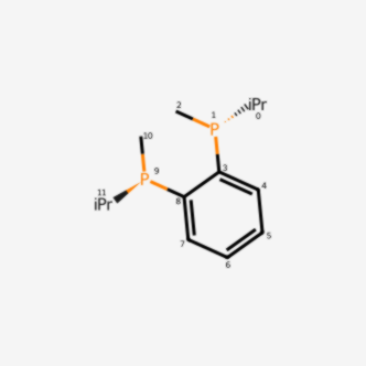 CC(C)[P@@](C)c1ccccc1[P@](C)C(C)C